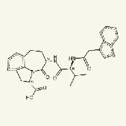 CC(C)[C@H](NC(=O)Cc1csc2ccccc12)C(=O)N[C@H]1CCc2cccc3c2N(C1=O)[C@H](C(=O)O)C3